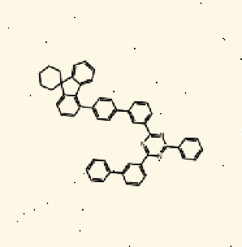 c1ccc(-c2cccc(-c3nc(-c4ccccc4)nc(-c4cccc(-c5ccc(-c6cccc7c6-c6ccccc6C76CCCCC6)cc5)c4)n3)c2)cc1